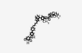 Cc1cc(-c2ccnn3cc(CCCCN4CCC(c5ccc(NC6CCC(=O)NC6=O)cc5)CC4)cc23)ccc1CNC(=O)c1noc(C(C)(C)C)n1